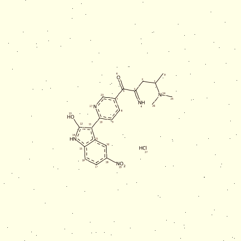 CC(CC(=N)C(=O)c1ccc(-c2c(O)[nH]c3ccc([N+](=O)[O-])cc23)nc1)N(C)C.Cl